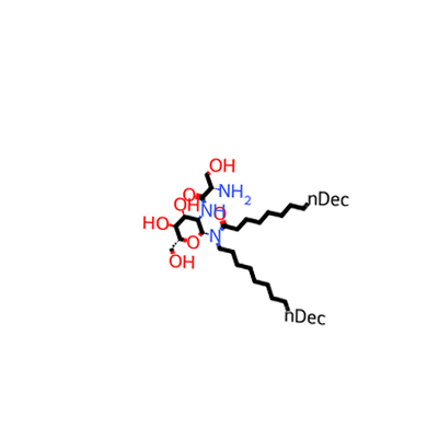 CCCCCCCCCCCCCCCCCCN(C(=O)CCCCCCCCCCCCCCCCC)[C@@H]1O[C@H](CO)[C@@H](O)[C@H](O)[C@H]1NC(=O)[C@@H](N)CO